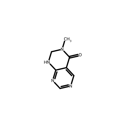 CN1CNc2ncncc2C1=O